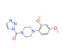 COc1ccc(N2CCN(C(=O)n3ccnn3)CC2)c(OC)c1